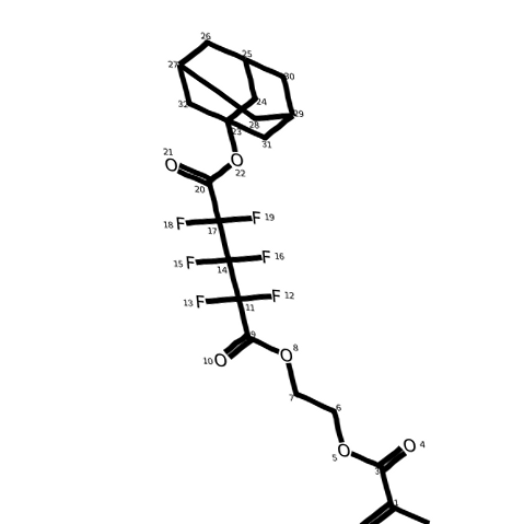 C=C(C)C(=O)OCCOC(=O)C(F)(F)C(F)(F)C(F)(F)C(=O)OC12CC3CC(CC(C3)C1)C2